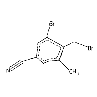 Cc1cc(C#N)cc(Br)c1CBr